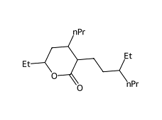 CCCC(CC)CCC1C(=O)OC(CC)CC1CCC